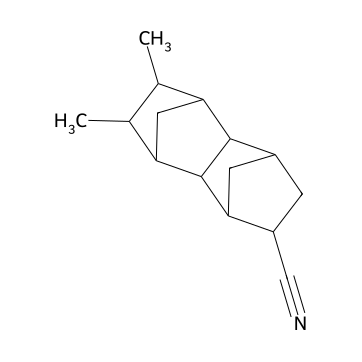 CC1C(C)C2CC1C1C3CC(C#N)C(C3)C21